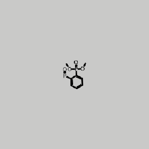 COP(=O)(OC)c1ccccc1P=O